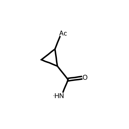 CC(=O)C1CC1C([NH])=O